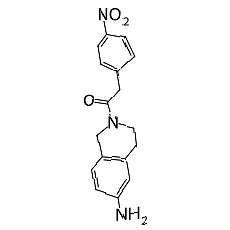 Nc1ccc2c(c1)CCN(C(=O)Cc1ccc([N+](=O)[O-])cc1)C2